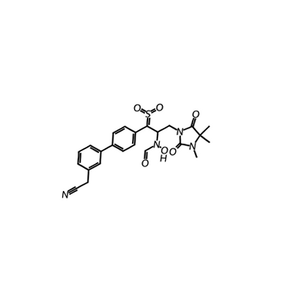 CN1C(=O)N(CC(C(c2ccc(-c3cccc(CC#N)c3)cc2)=S(=O)=O)N(O)C=O)C(=O)C1(C)C